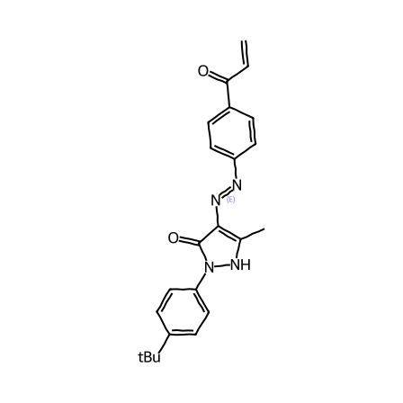 C=CC(=O)c1ccc(/N=N/c2c(C)[nH]n(-c3ccc(C(C)(C)C)cc3)c2=O)cc1